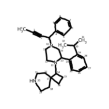 CC#CC(c1ccccc1)N1CCN(C2CCC23CCNCC3)C(c2ccccc2C(C)C)C1